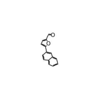 O=Cc1ccc(-c2ccc3ccccc3c2)o1